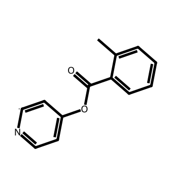 Cc1ccccc1C(=O)Oc1c[c]ncc1